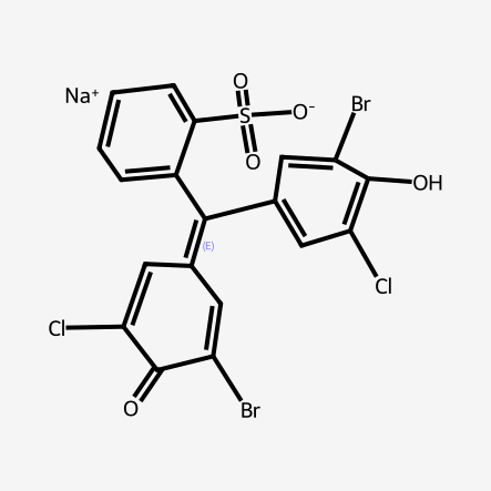 O=C1C(Cl)=C/C(=C(/c2cc(Cl)c(O)c(Br)c2)c2ccccc2S(=O)(=O)[O-])C=C1Br.[Na+]